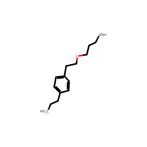 CCCCCCCCCCCCCOCCc1ccc(CCC(=O)O)cc1